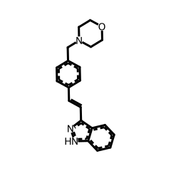 C(=C\c1n[nH]c2ccccc12)/c1ccc(CN2CCOCC2)cc1